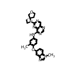 Cc1cc(Nc2ncnc3cnc(N4CC[C@]45CCOC5)nc23)ccc1Oc1ccc2c(c1)ncn2C